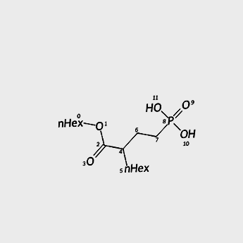 CCCCCCOC(=O)C(CCCCCC)CCP(=O)(O)O